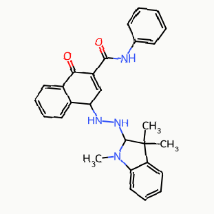 CN1c2ccccc2C(C)(C)C1NNC1C=C(C(=O)Nc2ccccc2)C(=O)c2ccccc21